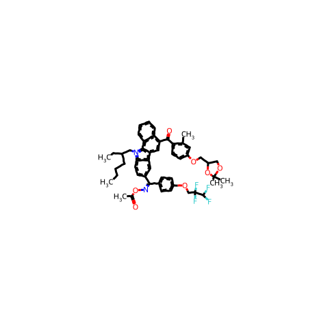 CCCCC(CC)Cn1c2ccc(/C(=N\OC(C)=O)c3ccc(OCC(F)(F)C(F)F)cc3)cc2c2cc(C(=O)c3ccc(OCC4COC(C)(C)O4)cc3C)c3ccccc3c21